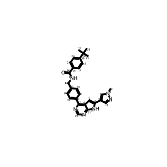 Cn1cc(-c2cc3c(-c4ccc(CNC(=O)c5ccc(C(C)(C)C)cc5)cc4)ncnc3[nH]2)cn1